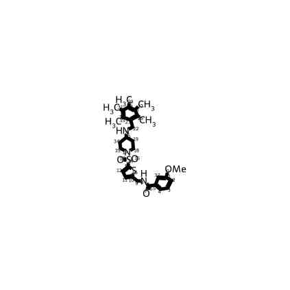 COc1cccc(C(=O)NCc2ccc(S(=O)(=O)N3CCC(NCc4c(C)c(C)c(C)c(C)c4C)CC3)s2)c1